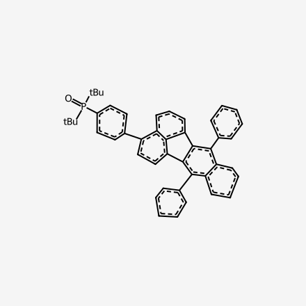 CC(C)(C)P(=O)(c1ccc(-c2ccc3c4c(cccc24)-c2c-3c(-c3ccccc3)c3ccccc3c2-c2ccccc2)cc1)C(C)(C)C